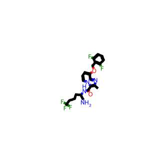 Cc1nc2c(OCc3c(F)cccc3F)cccn2c1C(=O)NC(CN)CCCC(F)(F)F